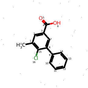 Cc1cc(C(=O)O)cc(-c2ccccc2)c1Cl